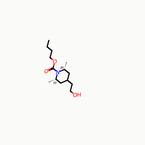 CCCCOC(=O)N1[C@H](C)CC(CCO)C[C@@H]1C